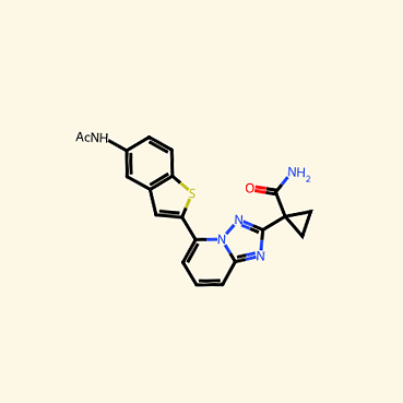 CC(=O)Nc1ccc2sc(-c3cccc4nc(C5(C(N)=O)CC5)nn34)cc2c1